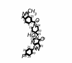 Cn1ncc2ccc(C(=O)N3CCC(O)(Cn4cnc5c(cnn5-c5ccc(F)cc5)c4=O)CC3)cc21